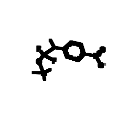 CC(c1ccc([N+](=O)[O-])cc1)C(F)(F)O[Si](C)(C)C